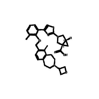 Cc1cccc(-c2csc(N3C[C@@H]4C[C@]4(C(=O)O)C3)n2)c1OCc1ccc2c(c1C)CCN(C1COC1)CC2